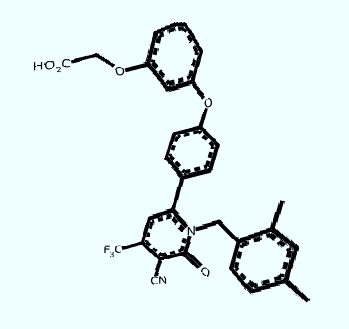 Cc1ccc(Cn2c(-c3ccc(Oc4cccc(OCC(=O)O)c4)cc3)cc(C(F)(F)F)c(C#N)c2=O)c(C)c1